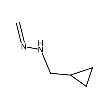 C=NNCC1CC1